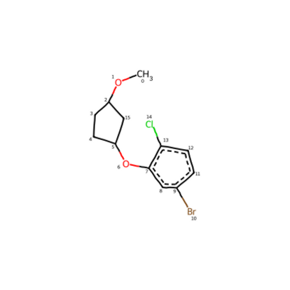 COC1CCC(Oc2cc(Br)ccc2Cl)C1